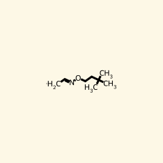 [CH2]C=NOCCC(C)(C)C